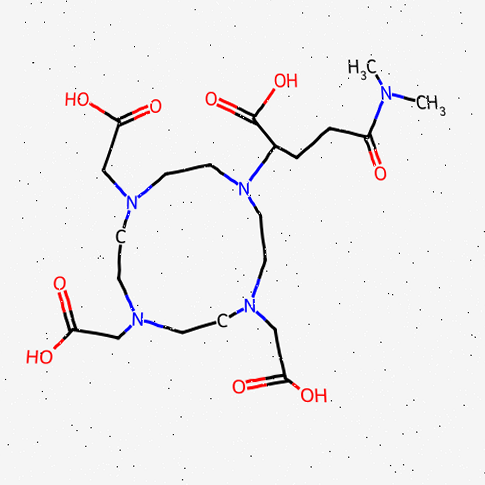 CN(C)C(=O)CCC(C(=O)O)N1CCN(CC(=O)O)CCN(CC(=O)O)CCN(CC(=O)O)CC1